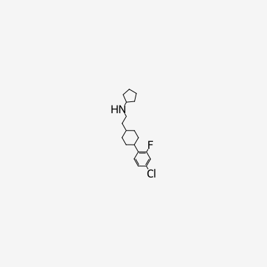 Fc1cc(Cl)ccc1C1CCC(CCNC2CCCC2)CC1